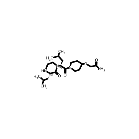 CC(C)C[C@@H]1NCCN([C@@H](CC(C)C)C(=O)N2CCC(OCC(N)=O)CC2)C1=O